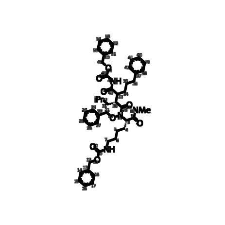 CNC(=O)[C@H](CCCCNC(=O)OCc1ccccc1)N(OCc1ccccc1)C(=O)[C@H](CC(C)C)C(CCCc1ccccc1)C(=O)NC(=O)OCc1ccccc1